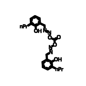 CCCc1cccc(C/N=N/OC(=O)O/N=N/Cc2cccc(CCC)c2O)c1O